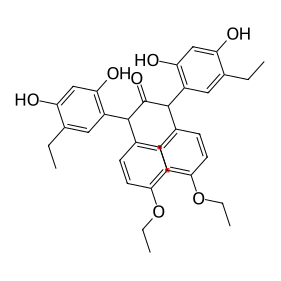 CCOc1ccc(C(C(=O)C(c2ccc(OCC)cc2)c2cc(CC)c(O)cc2O)c2cc(CC)c(O)cc2O)cc1